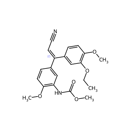 CCOc1cc(/C(=C\C#N)c2ccc(OC)c(NC(=O)OC)c2)ccc1OC